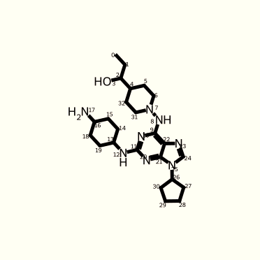 CCC(O)C1CCN(Nc2nc(NC3CCC(N)CC3)nc3c2ncn3C2CCCC2)CC1